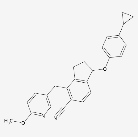 COc1ccc(Cc2c(C#N)ccc3c2CCC3Oc2ccc(C3CC3)cc2)cn1